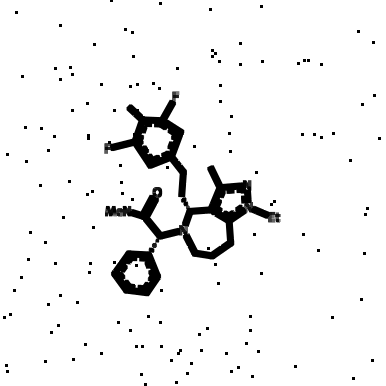 CCn1nc(C)c2c1CCCN([C@@H](C(=O)NC)c1ccccc1)[C@@H]2CCc1cc(F)c(C)c(F)c1